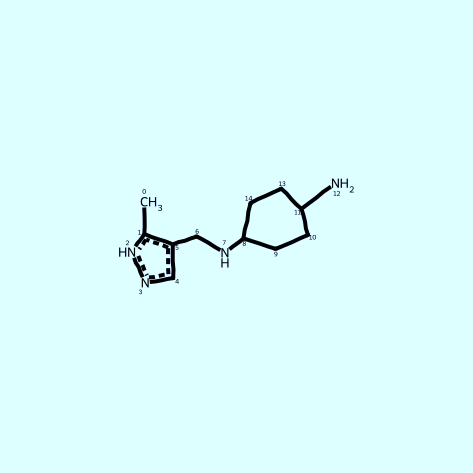 Cc1[nH]ncc1CNC1CCC(N)CC1